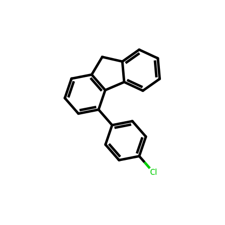 Clc1ccc(-c2cccc3c2-c2ccccc2C3)cc1